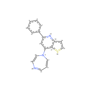 C1=CN(c2cc(-c3ccccc3)nc3ccsc23)C=CN=C1